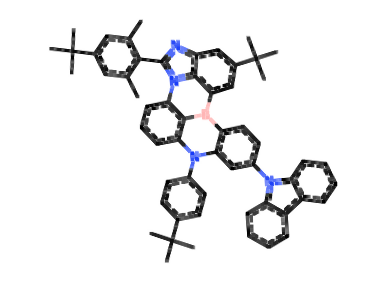 Cc1cc(C(C)(C)C)cc(C)c1-c1nc2cc(C(C)(C)C)cc3c2n1-c1cccc2c1B3c1ccc(-n3c4ccccc4c4ccccc43)cc1N2c1ccc(C(C)(C)C)cc1